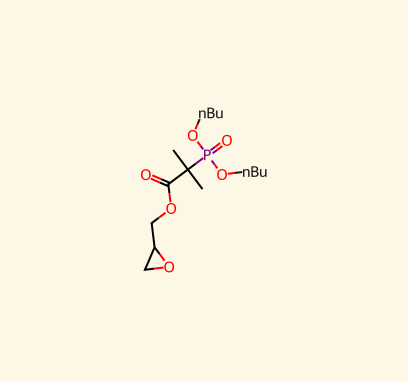 CCCCOP(=O)(OCCCC)C(C)(C)C(=O)OCC1CO1